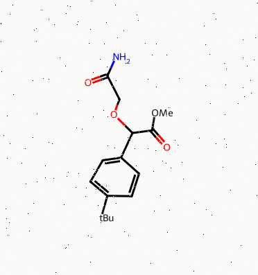 COC(=O)C(OCC(N)=O)c1ccc(C(C)(C)C)cc1